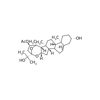 CC(=O)O[C@@H]1C[C@]2(C(C)(C)O)O[C@H]3C[C@H]4[C@@H]5CC=C6C[C@@H](O)CC[C@]6(C)[C@H]5CC[C@]4(C)[C@H]3[C@@]1(C)O2